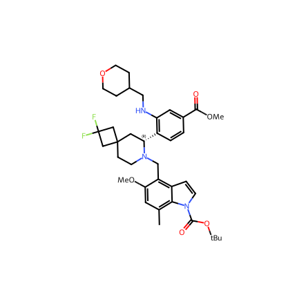 COC(=O)c1ccc([C@H]2CC3(CCN2Cc2c(OC)cc(C)c4c2ccn4C(=O)OC(C)(C)C)CC(F)(F)C3)c(NCC2CCOCC2)c1